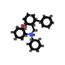 Brc1cccc(-c2ccccc2)c1CN(c1ccccc1)c1ccccc1